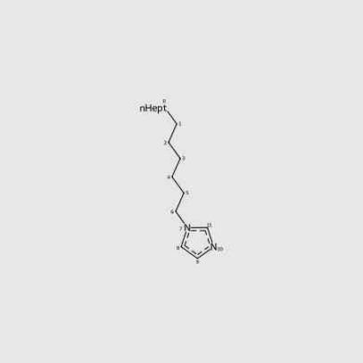 CCCCCCCCCCCCCn1ccnc1